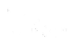 CC(C)(C(=O)Nc1nc2ccc(Cl)cc2s1)C(c1ccccc1)c1cccc(O)c1